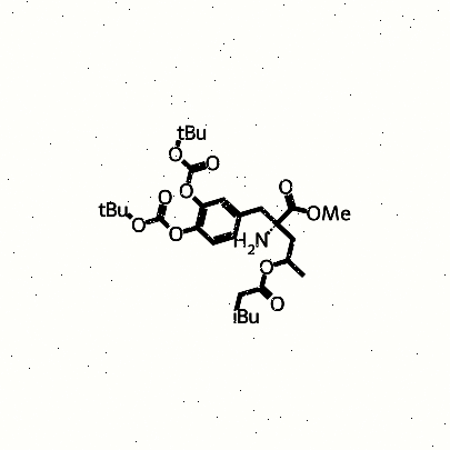 CCC(C)CC(=O)OC(C)C[C@@](N)(Cc1ccc(OC(=O)OC(C)(C)C)c(OC(=O)OC(C)(C)C)c1)C(=O)OC